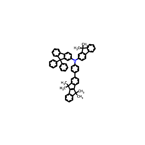 CC1(C)C2=C(c3ccccc31)C(C)(C)c1cc(-c3ccc(N(c4ccc5c(c4)C(C)(C)c4ccccc4-5)c4ccc5c(c4)C(c4ccccc4)(c4ccccc4)c4ccccc4-5)cc3)ccc12